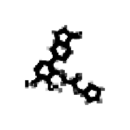 Cc1c(O)ccc(-c2ccc3c(c2)CCC3=O)c1OCC(=O)OC1CCCC1